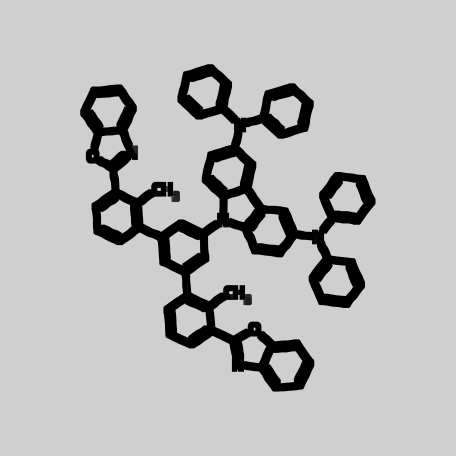 Cc1c(-c2cc(-c3cccc(-c4nc5ccccc5o4)c3C)cc(-n3c4ccc(N(c5ccccc5)c5ccccc5)cc4c4cc(N(c5ccccc5)c5ccccc5)ccc43)c2)cccc1-c1nc2ccccc2o1